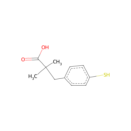 CC(C)(Cc1ccc(S)cc1)C(=O)O